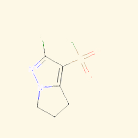 O=S(=O)(Cl)c1c(Cl)nn2c1CCC2